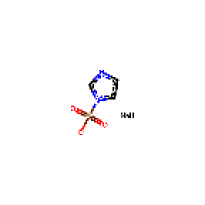 O=S(=O)(O)n1ccnc1.[NaH]